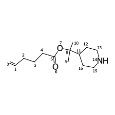 C=CCCCC(=O)OC(C)(C)C1CCNCC1